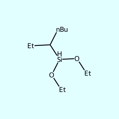 CCCCC(CC)[SiH](OCC)OCC